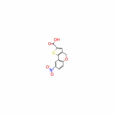 O=C(O)c1cc2c(s1)-c1cc([N+](=O)[O-])ccc1OC2